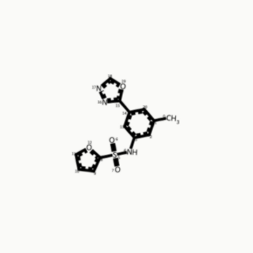 Cc1cc(NS(=O)(=O)c2ccco2)cc(-c2nnco2)c1